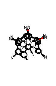 Cc1cccc(-c2c(C#N)c(-n3c4ccc(C#N)cc4c4cc(C#N)ccc43)c(-n3c4ccc(C#N)cc4c4cc(C#N)ccc43)c(-n3c4ccc(C#N)cc4c4cc(C#N)ccc43)c2-n2c3ccc(C#N)cc3c3cc(C#N)ccc32)n1